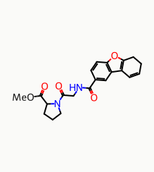 COC(=O)C1CCCN1C(=O)CNC(=O)c1ccc2oc3c(c2c1)C=CCC3